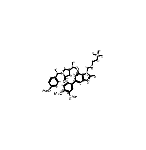 COc1ccc([C@@H](C)N2CC([C@@H](C)Oc3nc(-c4ccc(OC)c(OC)c4)cc4nc(C)n(COCC[Si](C)(C)C)c34)CC2=O)cc1